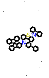 c1ccc(-c2ccc(N(c3ccc4c(c3)C3(c5ccccc5-c5ccccc53)c3ccccc3-4)c3cccc4sc5c(-n6c7ccccc7c7ccccc76)cccc5c34)cc2)cc1